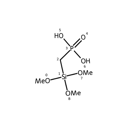 CO[Si](CP(=O)(O)O)(OC)OC